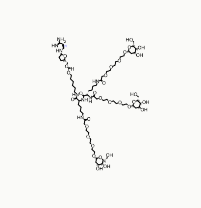 N=C(N)/C=C\N[C@H]1CC[C@@H](COPOCCCCCCNC(=O)C(CCCCNC(=O)COCCOCCOCCO[C@H]2C[C@@H](O)[C@@H](O)[C@@H](CO)O2)NC(=O)[C@H](CCCCNC(=O)COCCOCCOCCO[C@H]2C[C@@H](O)[C@@H](O)[C@@H](CO)O2)NC(=O)COCCOCCOCCO[C@H]2C[C@@H](O)[C@@H](O)[C@@H](CO)O2)O1